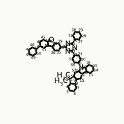 CC1(C)c2ccccc2-c2cc3c4ccccc4n(-c4ccc(-c5nc(-c6ccccc6)nc(-c6ccc7c(c6)oc6ccc(-c8ccccc8)cc67)n5)cc4)c3cc21